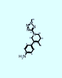 CC1=C(c2ccc(N)cc2)CN(c2nnn(C)n2)CC1